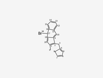 CC1=C(CC2=CC=CC2)C2=Cc3ccccc3C(Br)C2=C1